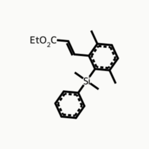 CCOC(=O)C=Cc1c(C)ccc(C)c1[Si](C)(C)c1ccccc1